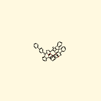 c1ccc(-c2ccc(N(c3ccc(-c4sc5c(c4-c4ccccc4)C4(c6ccccc6-c6ccc(-c7ccccc7)cc64)c4ccccc4-5)cc3)c3ccccc3-c3ccccc3)cc2)cc1